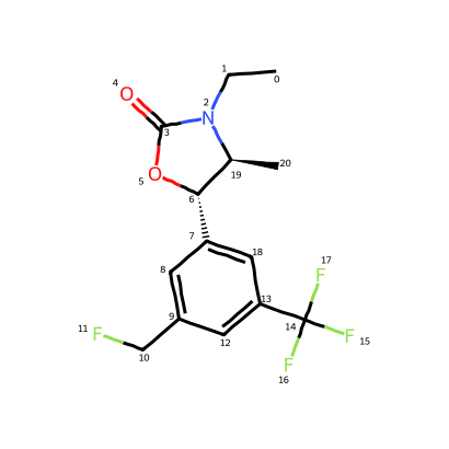 CCN1C(=O)O[C@@H](c2cc(CF)cc(C(F)(F)F)c2)[C@@H]1C